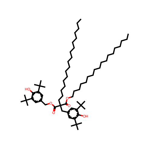 CCCCCCCCCCCCCCCCCCOC(=O)C(CCCCCCCCCCCCCCCCCC)(Cc1cc(C(C)(C)C)c(O)c(C(C)(C)C)c1)C(=O)OCc1cc(C(C)(C)C)c(O)c(C(C)(C)C)c1